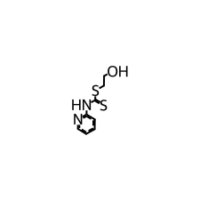 OCCSC(=S)Nc1ccccn1